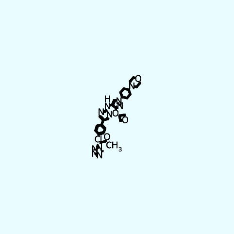 CC(Cn1cnnn1)Oc1cc(-c2cnc(Nc3cn([C@H]4CC[C@H](N5CCOCC5)CC4)nc3OC3COC3)nc2)ccc1Cl